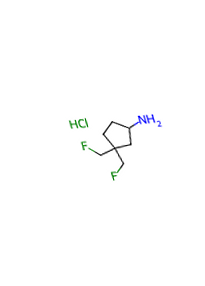 Cl.NC1CCC(CF)(CF)C1